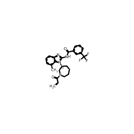 C=CC(=O)N1CCCC[C@H](n2c(NC(=O)c3cccc(C(F)(F)F)c3)nc3cccc(C)c32)C1